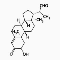 CC(C=O)[C@H]1CC[C@H]2[C@@H]3CCC4=CC(=O)C(O)C[C@]4(C)[C@H]3CC[C@]12C